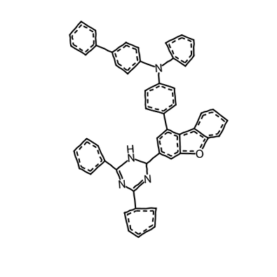 c1ccc(C2=NC(c3cc(-c4ccc(N(c5ccccc5)c5ccc(-c6ccccc6)cc5)cc4)c4c(c3)oc3ccccc34)NC(c3ccccc3)=N2)cc1